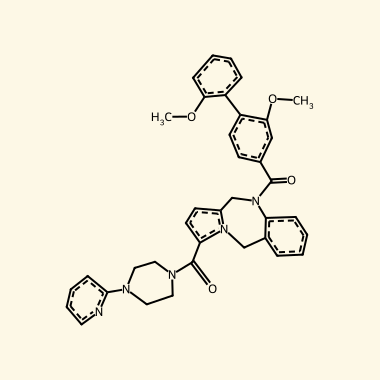 COc1ccccc1-c1ccc(C(=O)N2Cc3ccc(C(=O)N4CCN(c5ccccn5)CC4)n3Cc3ccccc32)cc1OC